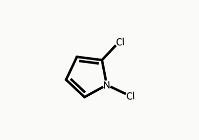 Clc1cccn1Cl